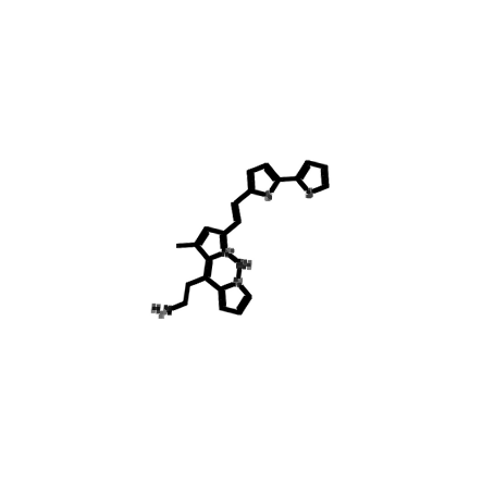 CC1=CC(/C=C/c2ccc(-c3cccs3)s2)=[N+]2Bn3cccc3C(CCN)=C12